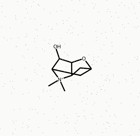 C[N+]1(C)C2CC3CC1C(O3)C2O